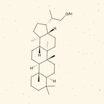 CC(=O)OCC(C)[C@H]1CC[C@]2(C)[C@H]3CC[C@@H]4[C@@]5(C)CCCC(C)(C)[C@@H]5CC[C@@]4(C)[C@]3(C)CC[C@@H]12